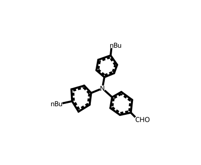 CCCCc1ccc(N(c2ccc(C=O)cc2)c2ccc(CCCC)cc2)cc1